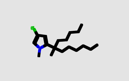 CCCCCCC(C)(CCCCC)c1cc(Cl)cn1C